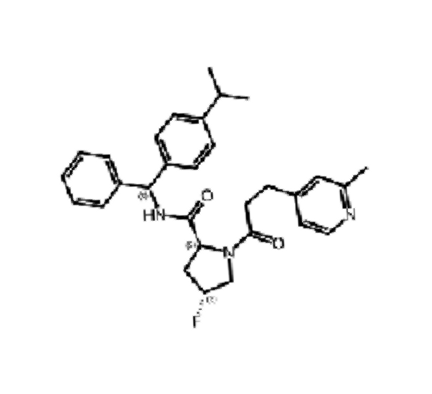 Cc1cc(CCC(=O)N2C[C@H](F)C[C@H]2C(=O)N[C@@H](c2ccccc2)c2ccc(C(C)C)cc2)ccn1